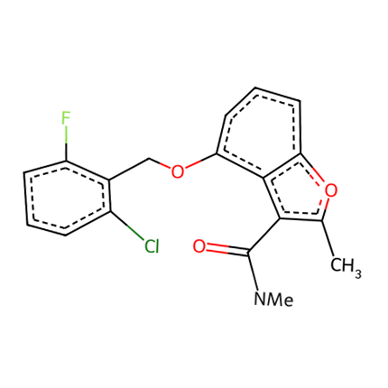 CNC(=O)c1c(C)oc2cccc(OCc3c(F)cccc3Cl)c12